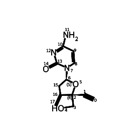 C#C[C@]1(CO)O[C@H](n2ccc(N)nc2=O)CC1=C